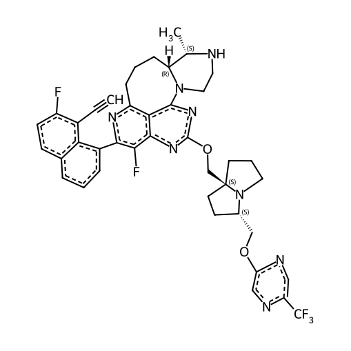 C#Cc1c(F)ccc2cccc(-c3nc4c5c(nc(OC[C@@]67CCCN6[C@H](COc6cnc(C(F)(F)F)cn6)CC7)nc5c3F)N3CCN[C@@H](C)[C@H]3CCC4)c12